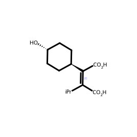 CC(C)/C(C(=O)O)=C(/C(=O)O)[C@H]1CC[C@H](O)CC1